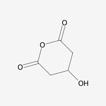 O=C1CC(O)CC(=O)O1